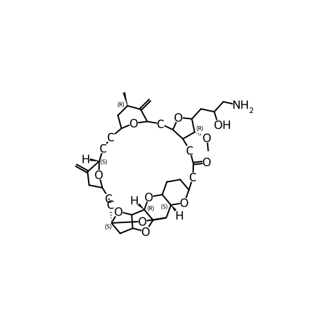 C=C1C2CC3OC(CC(O)CN)[C@H](OC)C3CC(=O)CC3CCC4O[C@H]5C6O[C@]7(CCC8CC(=C)[C@H](CCC(C[C@H]1C)O2)O8)CC6OC5C(O7)[C@H]4O3